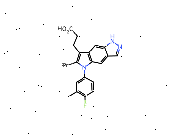 Cc1cc(-n2c(C(C)C)c(CCC(=O)O)c3cc4[nH]ncc4cc32)ccc1F